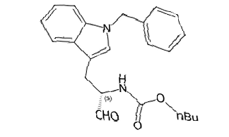 CCCCOC(=O)N[C@H](C=O)Cc1cn(Cc2ccccc2)c2ccccc12